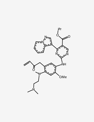 C=CC(=O)Cc1cc(Nc2ncc(C(=O)OC(C)C)c(-c3cnn4ccccc34)n2)c(OC)cc1N(C)CCN(C)C